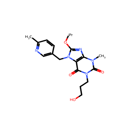 Cc1ccc(Cn2c(OC(C)C)nc3c2c(=O)n(CCCO)c(=O)n3C)cn1